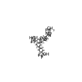 CC(F)(F)c1nc(C23CCC(CN(C(=O)C4CC(O)(C(F)(F)F)C4)c4cccc(-c5ccc(C(O)C(F)F)cc5)c4)(CC2)CC3)no1